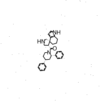 O=C([C@@H]1CNC[C@]12CCCc1[nH]ccc12)N1CC[C@@H](c2ccccc2)C[C@H]1c1ccccc1